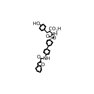 O=C(Nc1ccc(-c2ccc(S(=O)(=O)N[C@@H](Cc3ccc(O)cc3)C(=O)O)cc2)cc1)c1cc2ccccc2o1